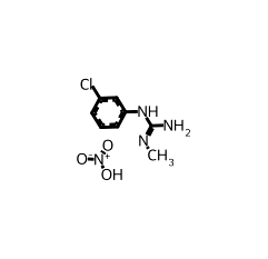 CN=C(N)Nc1cccc(Cl)c1.O=[N+]([O-])O